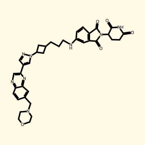 O=C1CCC(N2C(=O)c3ccc(NCCCC4CC(n5cc(-c6cnc7ccc(CN8CCOCC8)cc7n6)cn5)C4)cc3C2=O)C(=O)N1